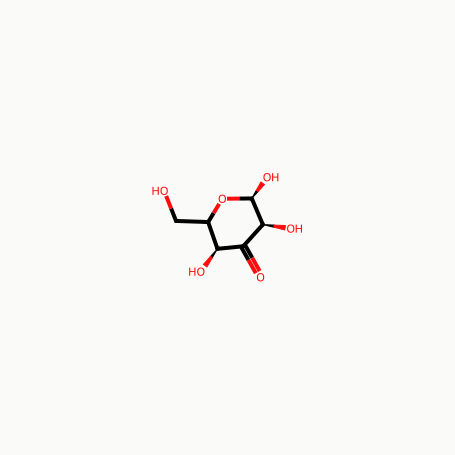 O=C1[C@@H](O)C(CO)O[C@@H](O)[C@H]1O